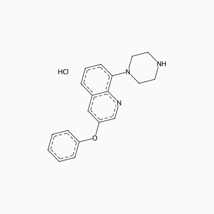 Cl.c1ccc(Oc2cnc3c(N4CCNCC4)cccc3c2)cc1